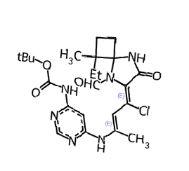 CCC1(C)CCC12NC(=O)/C(=C(Cl)/C=C(\C)Nc1cc(NC(=O)OC(C)(C)C)ncn1)N2C=O